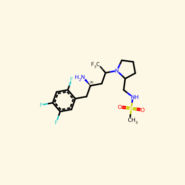 CS(=O)(=O)NCC1CCCN1C(C[C@H](N)Cc1cc(F)c(F)cc1F)C(F)(F)F